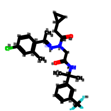 C/C(=N\N(CC(=O)NC(C)(C)c1cccc(C(F)(F)F)c1)C(=O)CC1CC1)c1ccc(Cl)cc1C